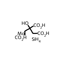 O=C(O)CC(O)(CC(=O)O)C(=O)O.[Mo].[SiH4]